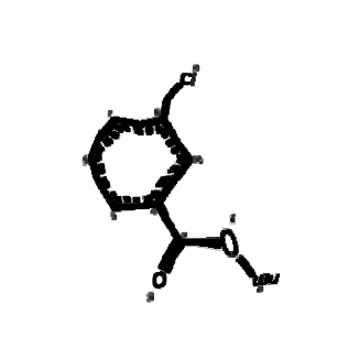 CC(C)(C)OC(=O)c1c[c]cc(Cl)c1